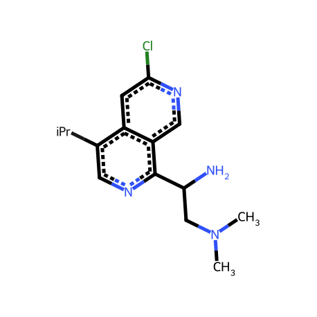 CC(C)c1cnc(C(N)CN(C)C)c2cnc(Cl)cc12